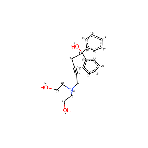 OCCN(CC#CCC(O)(c1ccccc1)c1ccccc1)CCO